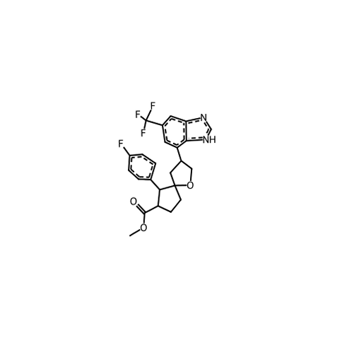 COC(=O)C1CCC2(CC(c3cc(C(F)(F)F)cc4nc[nH]c34)CO2)C1c1ccc(F)cc1